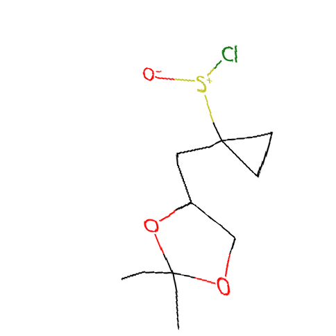 CC1(C)OCC(CC2([S+]([O-])Cl)CC2)O1